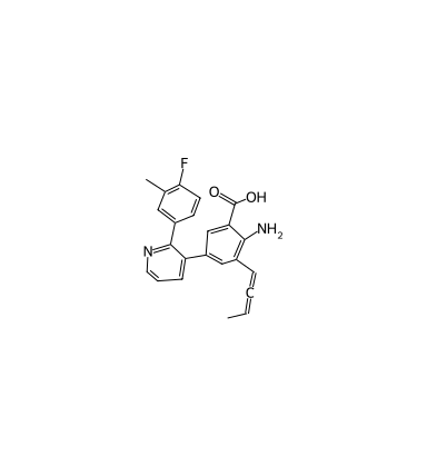 CC=C=Cc1cc(-c2cccnc2-c2ccc(F)c(C)c2)cc(C(=O)O)c1N